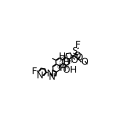 COCC(=O)O[C@]1(C(=O)SCF)CC[C@H]2[C@@H]3C=C(C)C4=Cc5c(cnn5-c5ccc(F)nc5)C[C@]4(C)[C@H]3[C@@H](O)C[C@@]21C